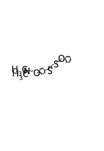 CN(C)CCCOc1ccc(-c2cc(CSCCOc3ccccc3)cs2)cc1